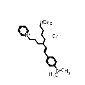 CCCCCCCCCCCCCCC(C=Cc1ccc(N(C)C)cc1)CCC[n+]1ccccc1.[Cl-]